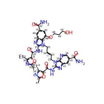 CCc1nc(C)oc1C(=O)Nc1nc2cc(C(N)=O)cnc2n1C/C=C/Cn1c(NC(=O)c2oc(C)nc2CC)nc2cc(C(N)=O)cc(OCCCO)c21